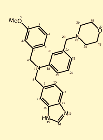 COc1cccc(CN(Cc2ccc3nc[nH]c3c2)c2cccc(CN3CCOCC3)c2)c1